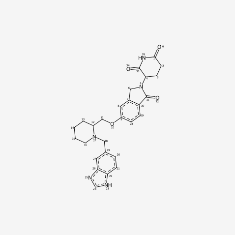 O=C1CCC(N2Cc3cc(OCC4CCCCN4Cc4ccc5[nH]cnc5c4)ccc3C2=O)C(=O)N1